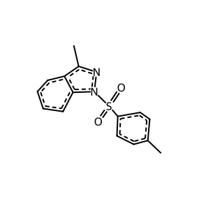 Cc1ccc(S(=O)(=O)n2nc(C)c3ccccc32)cc1